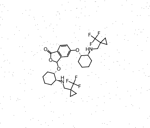 O=C1OC(O[C@H]2CCCC[C@@H]2NCC2(C(F)(F)F)CC2)c2cc(O[C@H]3CCCC[C@@H]3NCC3(C(F)(F)F)CC3)ccc21